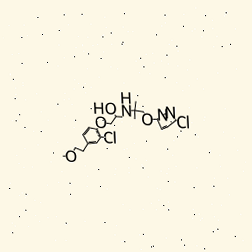 COCCc1ccc(OCC(O)CNC(C)(C)COc2ccc(Cl)nn2)c(Cl)c1